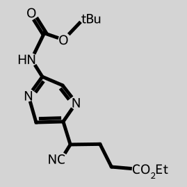 CCOC(=O)CCC(C#N)c1cnc(NC(=O)OC(C)(C)C)cn1